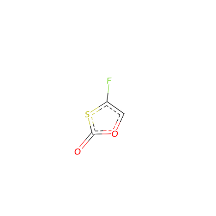 O=c1occ(F)s1